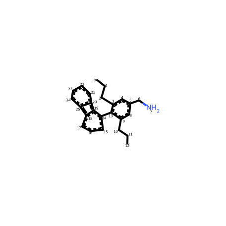 CCCc1cc(CN)cc(CCC)c1-c1cccc2c1=c1ccccc1=2